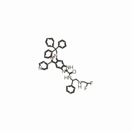 O=C(NC(CNCC(F)F)c1ccccc1)c1nc2cc3c(-c4ccncc4)nn(CC(c4ccccc4)(c4ccccc4)c4ccccc4)c3cc2[nH]1